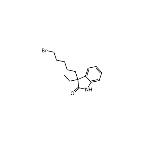 CCC1(CCCCCBr)C(=O)Nc2ccccc21